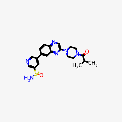 CC(C)C(=O)N1CCN(c2cnc3ccc(-c4cncc([S+](N)[O-])c4)cc3n2)CC1